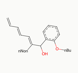 C=CC=CC=C(CCCCCCCCC)C(O)c1ccccc1OCCCC